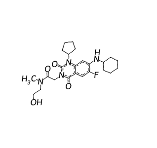 CN(CCO)C(=O)Cn1c(=O)c2cc(F)c(NC3CCCCC3)cc2n(C2CCCC2)c1=O